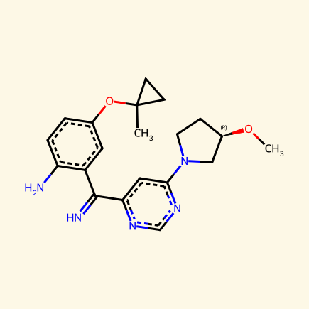 CO[C@@H]1CCN(c2cc(C(=N)c3cc(OC4(C)CC4)ccc3N)ncn2)C1